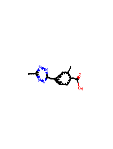 Cc1nnc(-c2ccc(C(=O)O)c(C)c2)nn1